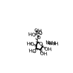 O=P(O)(O)OC[C@H]1O[C@H](O)[C@H](O)[C@@H](O)[C@@H]1O.[NaH].[NaH]